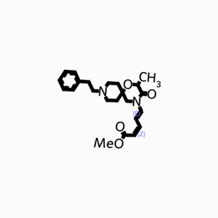 COC(=O)/C=C\C=C\N1CC2(CCN(CCc3ccccc3)CC2)OC(C)C1=O